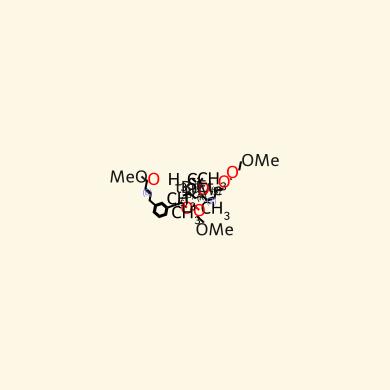 CC[C@H](/C=C(/C)[C@@H](C[C@H](C[C@H](OCOCCOC)C(C)(C)c1cccc(C/C=C/C(=O)OC)c1)OC)O[Si](C)(C)C(C)(C)C)COCOCCOC